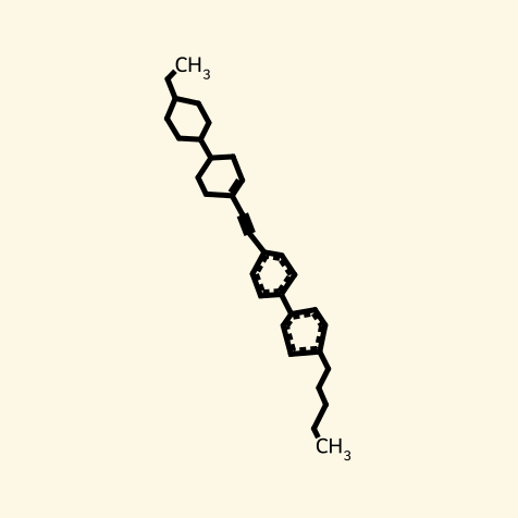 CCCCCc1ccc(-c2ccc(C#CC3=CCC(C4CCC(CC)CC4)CC3)cc2)cc1